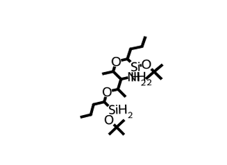 CCCC(OC(C)C(N)C(C)OC(CCC)[SiH2]OC(C)(C)C)[SiH2]OC(C)(C)C